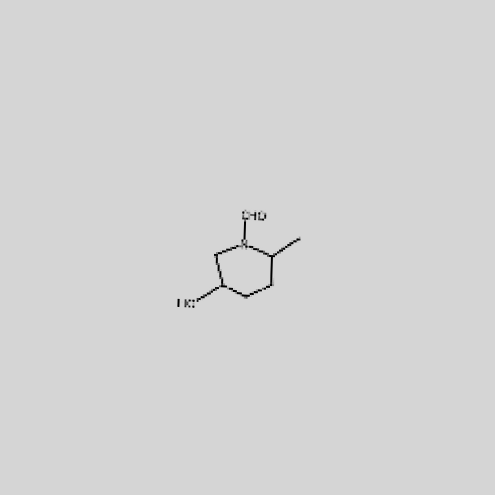 CC1CCC(O)CN1C=O